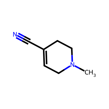 CN1CC=C(C#N)CC1